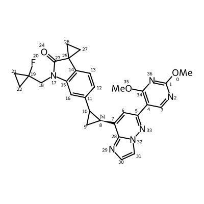 COc1ncc(-c2cc([C@H]3CC3c3ccc4c(c3)N(CC3(F)CC3)C(=O)C43CC3)c3nccn3n2)c(OC)n1